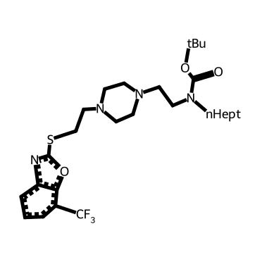 CCCCCCCN(CCN1CCN(CCSc2nc3cccc(C(F)(F)F)c3o2)CC1)C(=O)OC(C)(C)C